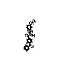 O=C(Nc1nc2cc(OCBr)ccc2s1)c1ccc(C(=O)c2ccccc2)cc1